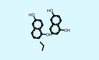 CCC.Oc1ccc2c(O)cccc2c1.Oc1ccc2c(O)cccc2c1